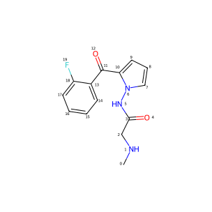 CNCC(=O)Nn1cccc1C(=O)c1ccccc1F